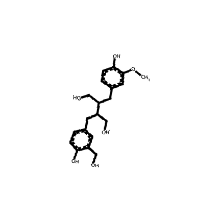 COc1cc(CC(CO)C(CO)Cc2ccc(O)c(CO)c2)ccc1O